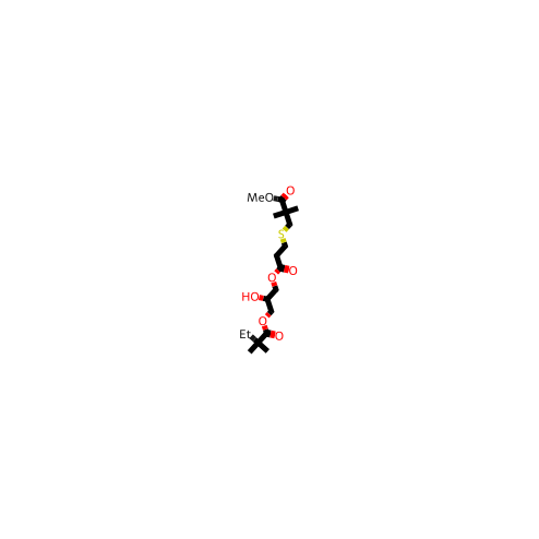 CCC(C)(C)C(=O)OCC(O)COC(=O)CCSCC(C)(C)C(=O)OC